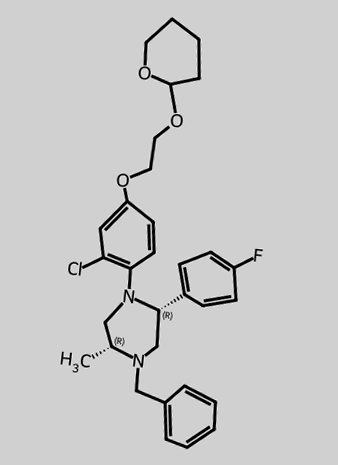 C[C@@H]1CN(c2ccc(OCCOC3CCCCO3)cc2Cl)[C@H](c2ccc(F)cc2)CN1Cc1ccccc1